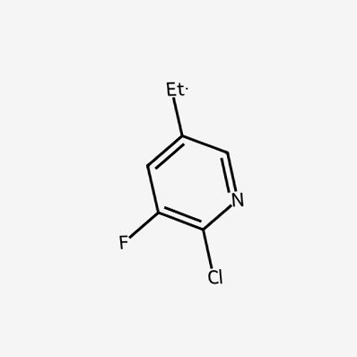 C[CH]c1cnc(Cl)c(F)c1